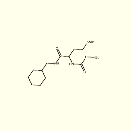 CSCCC(NC(=O)OC(C)(C)C)C(=O)NC[C]1CCCCC1